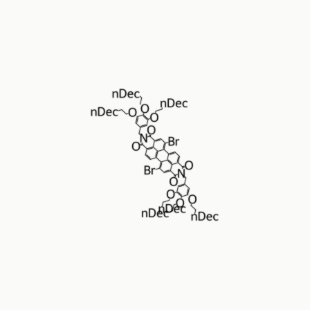 CCCCCCCCCCCCOc1cc(CN2C(=O)c3ccc4c5c(Br)cc6c7c(ccc(c8c(Br)cc(c3c48)C2=O)c75)C(=O)N(Cc2cc(OCCCCCCCCCCCC)c(OCCCCCCCCCCCC)c(OCCCCCCCCCCCC)c2)C6=O)cc(OCCCCCCCCCCCC)c1OCCCCCCCCCCCC